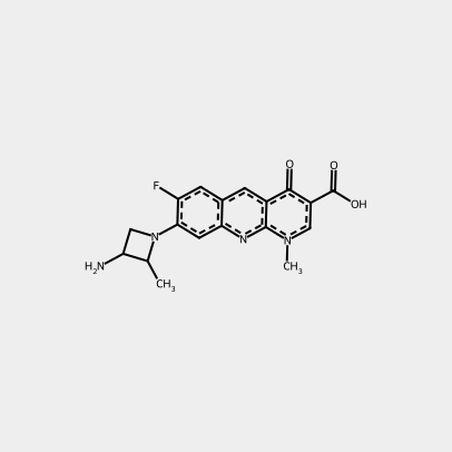 CC1C(N)CN1c1cc2nc3c(cc2cc1F)c(=O)c(C(=O)O)cn3C